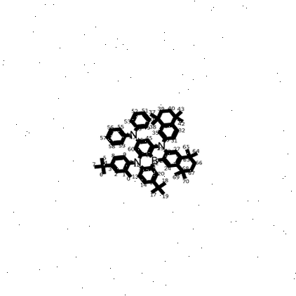 Cc1cc(C(C)(C)C)ccc1N1c2ccc(C(C)(C)C)cc2B2c3cc4c(cc3N(c3ccc5c(c3)C(C)(C)CCC5(C)C)c3cc(N(c5ccccc5)c5ccccc5)cc1c32)C(C)(C)CCC4(C)C